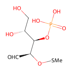 CSO[C@@H](C=O)[C@H](OP(=O)(O)O)[C@H](O)CO